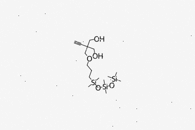 C#CC(CO)(CO)COCCC[Si](C)(C)O[Si](C)(C)O[Si](C)(C)C